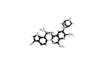 Cc1nc2c(C)nnc(N[C@H](C)c3cccc4c(F)coc34)c2cc1N1CC2CC1CO2